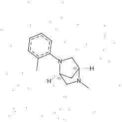 Cc1ccccc1N1C[C@@H]2C[C@H]1CN2C